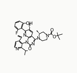 C=Cc1ccnc(C(C)C)c1-n1c(=O)nc(N2CCN(C(=O)OC(C)(C)C)C[C@@H]2C)c2cc(F)c(-c3c(O)cccc3F)nc21